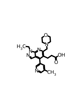 CCn1ncc2c(-c3cncc(C)c3)c(CCC(=O)O)c(CN3CCOCC3)nc21